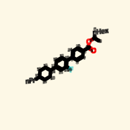 CCCCCCC(C)OC(=O)c1ccc(-c2ccc(C3CCC(CCC)CC3)cc2F)cc1